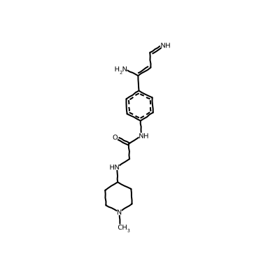 CN1CCC(NCC(=O)Nc2ccc(/C(N)=C/C=N)cc2)CC1